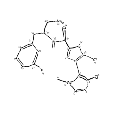 Cn1nnc(Cl)c1-c1cc(C(=O)NC(CN)Cc2cccc(F)c2)sc1Cl